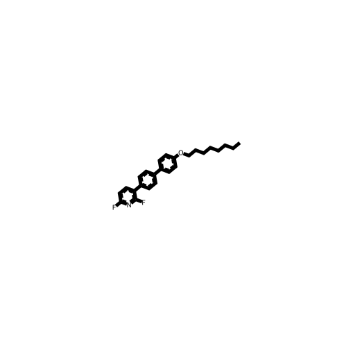 CCCCCCCCOc1ccc(-c2ccc(-c3ccc(F)nc3F)cc2)cc1